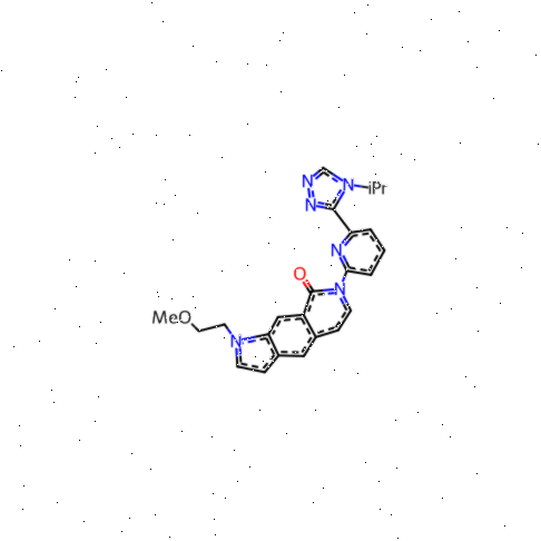 COCCn1ccc2cc3ccn(-c4cccc(-c5nncn5C(C)C)n4)c(=O)c3cc21